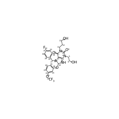 O=c1c2c(n(CCO)c(=O)n1CCCO)NC(Oc1cccc(OC(F)(F)F)c1)N2Cc1ccc(F)cc1